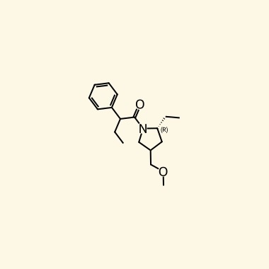 CCC(C(=O)N1CC(COC)C[C@H]1CC)c1ccccc1